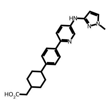 Cn1ccc(Nc2ccc(-c3ccc(C4CCC(CC(=O)O)CC4)cc3)nc2)n1